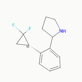 FC1(F)C[C@H]1c1ccccc1C1CCCN1